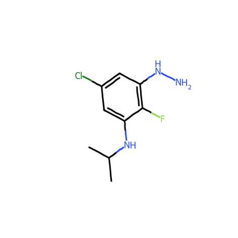 CC(C)Nc1cc(Cl)cc(NN)c1F